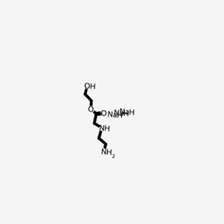 NCCNCC(=O)OCCO.[NaH].[NaH].[NaH]